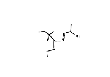 CCC=C(C=CC(C)O)C(C)(C)CC